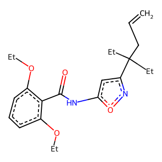 C=CCC(CC)(CC)c1cc(NC(=O)c2c(OCC)cccc2OCC)on1